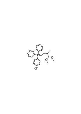 COC(OC)C(C)=CC[P+](c1ccccc1)(c1ccccc1)c1ccccc1.[Cl-]